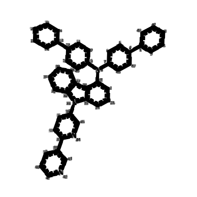 c1ccc(-c2ccc(N(c3ccc(-c4ccccc4)cc3)c3cccc4c3c3ccccc3n4-c3ccc(-c4cccnc4)nc3)cc2)cc1